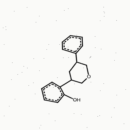 Oc1ccccc1C1COCC(c2ccccc2)C1